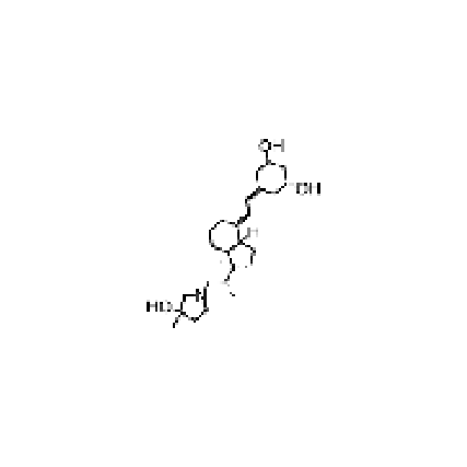 C[C@H](CN1CC[C@](C)(O)C1)[C@H]1CC[C@H]2/C(=C/C=C3C[C@@H](O)C[C@H](O)C3)CCC[C@]12C